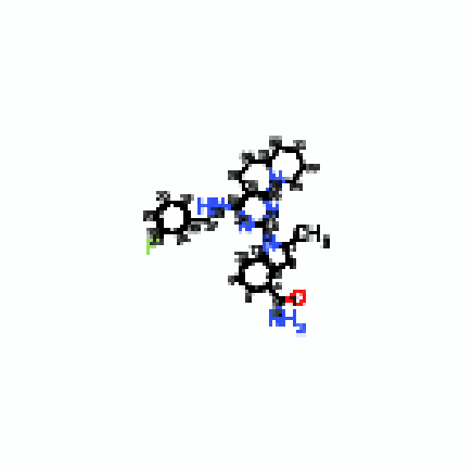 Cc1cc2c(C(N)=O)cccc2n1-c1nc(NCc2cccc(F)c2)c2c(n1)N1CCCCC1CC2